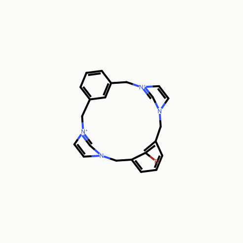 Brc1c2cccc1Cn1cc[n+](c1)Cc1cccc(c1)C[n+]1ccn(c1)C2